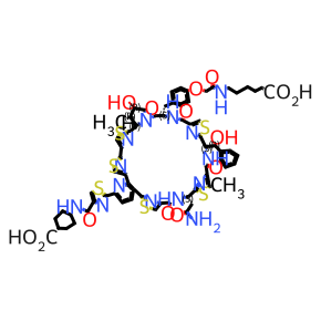 Cc1sc2nc1C(=O)N[C@@H]([C@H](O)c1ccccc1)c1nc(cs1)C(=O)N[C@@H](Cc1ccc(OCC(=O)NCCCCCC(=O)O)cc1)C(=O)N1C[C@H](O)[C@H](C)[C@H]1c1nc(cs1)-c1nc(cs1)-c1nc(-c3nc(C(=O)N[C@H]4CC[C@H](C(=O)O)CC4)cs3)ccc1C1=NC(CS1)C(=O)N[C@H]2CC(N)=O